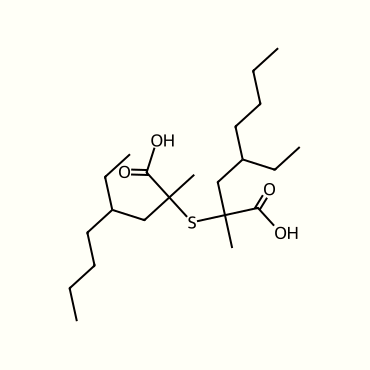 CCCCC(CC)CC(C)(SC(C)(CC(CC)CCCC)C(=O)O)C(=O)O